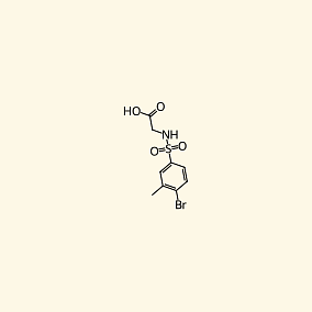 Cc1cc(S(=O)(=O)NCC(=O)O)ccc1Br